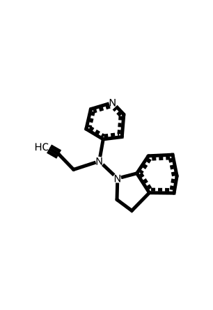 C#CCN(c1ccncc1)N1CCc2ccccc21